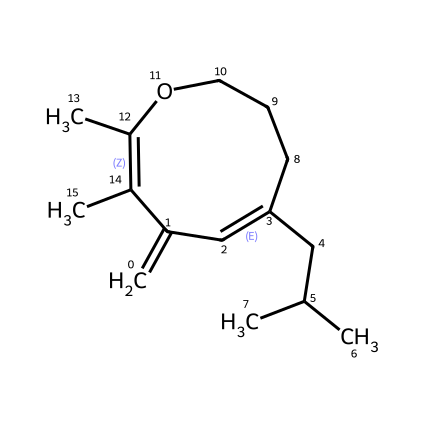 C=C1/C=C(/CC(C)C)CCCO/C(C)=C\1C